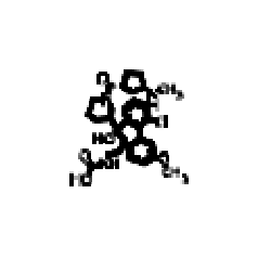 CN[C@H]1CC[C@@H](C(=O)N2CCCC(C(O)(CCCNC(=O)O)c3cccc(Cl)c3-c3cccc(OC)c3)C2)C1